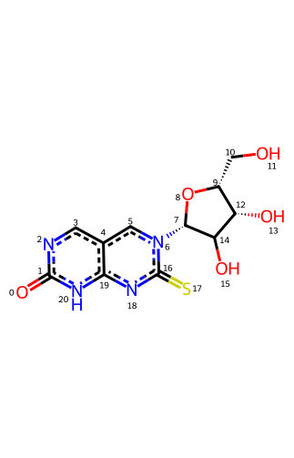 O=c1ncc2cn([C@@H]3O[C@H](CO)[C@H](O)C3O)c(=S)nc2[nH]1